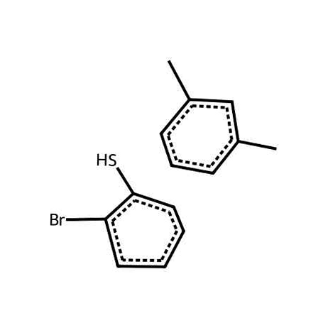 Cc1cccc(C)c1.Sc1ccccc1Br